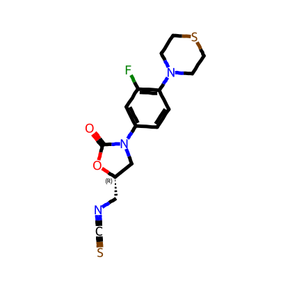 O=C1O[C@@H](CN=C=S)CN1c1ccc(N2CCSCC2)c(F)c1